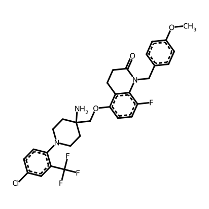 COc1ccc(CN2C(=O)CCc3c(OCC4(N)CCN(c5ccc(Cl)cc5C(F)(F)F)CC4)ccc(F)c32)cc1